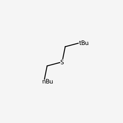 CCCCCSCC(C)(C)C